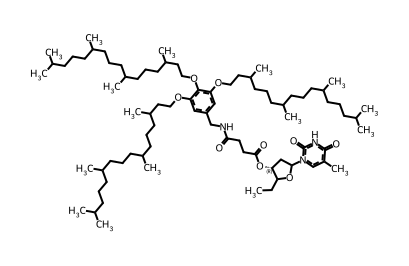 CCC1OC(n2cc(C)c(=O)[nH]c2=O)C[C@H]1OC(=O)CCC(=O)NCc1cc(OCCC(C)CCCC(C)CCCC(C)CCCC(C)C)c(OCCC(C)CCCC(C)CCCC(C)CCCC(C)C)c(OCCC(C)CCCC(C)CCCC(C)CCCC(C)C)c1